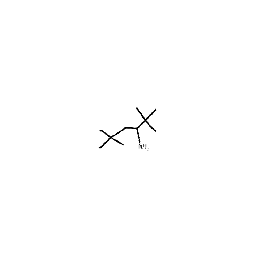 CC(C)(C)CC(N)C(C)(C)C